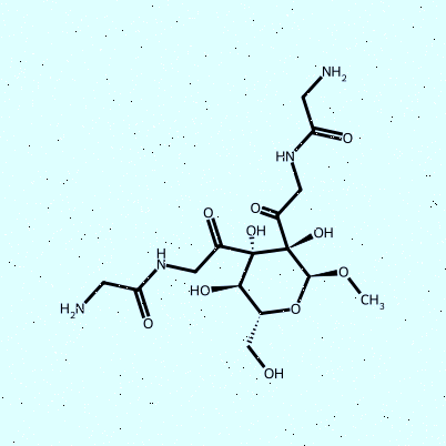 CO[C@H]1O[C@H](CO)[C@@H](O)[C@@](O)(C(=O)CNC(=O)CN)[C@]1(O)C(=O)CNC(=O)CN